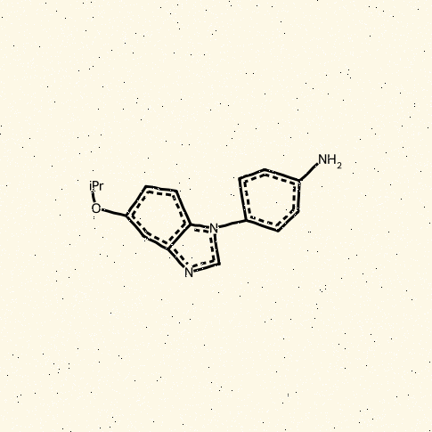 CC(C)Oc1ccc2c(c1)ncn2-c1ccc(N)cc1